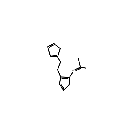 C[C](C)=[Zr][C]1=C(CCC2=CC=CC2)C=CC1